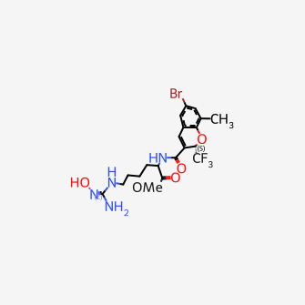 COC(=O)C(CCCCN/C(N)=N\O)NC(=O)C1=Cc2cc(Br)cc(C)c2O[C@@H]1C(F)(F)F